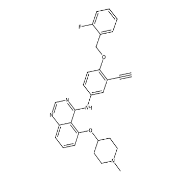 C#Cc1cc(Nc2ncnc3cccc(OC4CCN(C)CC4)c23)ccc1OCc1ccccc1F